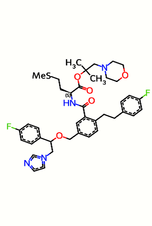 CSCC[C@H](NC(=O)c1cc(COC(Cn2ccnc2)c2ccc(F)cc2)ccc1CCc1ccc(F)cc1)C(=O)OC(C)(C)CN1CCOCC1